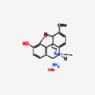 Br.COC1=CC=C2[C@H]3Cc4ccc(O)c5c4[C@@]2(CCN3C)[C@H]1O5.N